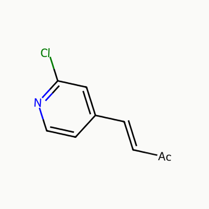 CC(=O)/C=C/c1ccnc(Cl)c1